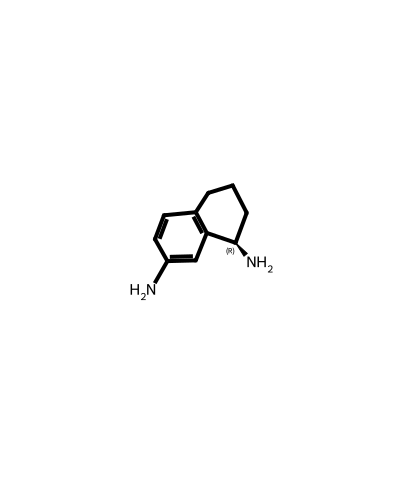 Nc1ccc2c(c1)[C@H](N)CCC2